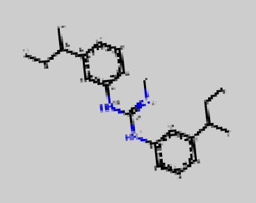 CCC(C)c1cccc(NC(=NC)Nc2cccc(C(C)CC)c2)c1